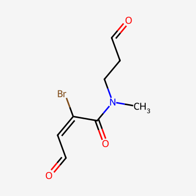 CN(CCC=O)C(=O)/C(Br)=C\C=O